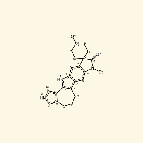 CCN1C(=O)C2(CC[S+]([O-])CC2)c2cc3[nH]c4c(c3cc21)CCCc1c[nH]nc1-4